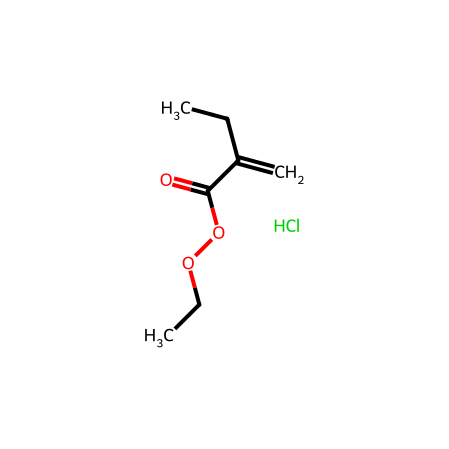 C=C(CC)C(=O)OOCC.Cl